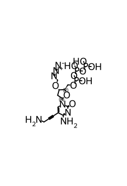 [N-]=[N+]=NCOC1C[C@H](n2cc(C#CCN)c(N)nc2=O)O[C@@H]1COP(O)OP(O)OP(O)O